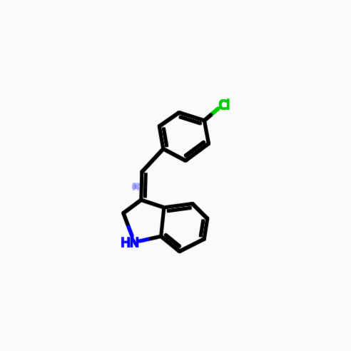 Clc1ccc(/C=C2/CNc3ccccc32)cc1